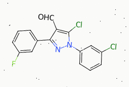 O=Cc1c(-c2cccc(F)c2)nn(-c2cccc(Cl)c2)c1Cl